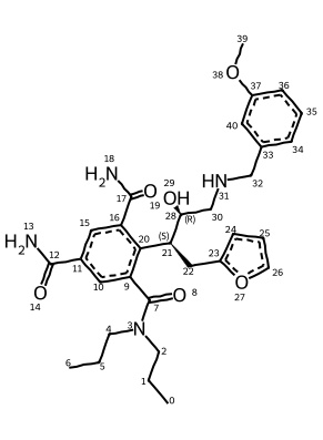 CCCN(CCC)C(=O)c1cc(C(N)=O)cc(C(N)=O)c1[C@H](Cc1ccco1)[C@@H](O)CNCc1cccc(OC)c1